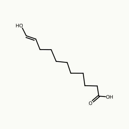 O=C(O)CCCCCCCCC=CO